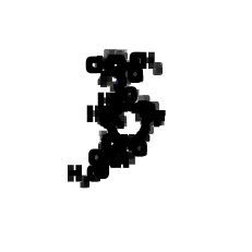 COC(=O)Nc1ccc2c(c1)NC(=O)CCc1nc(ccc1F)CC(NC(=O)/C=C/c1c(C(C)=O)ccc(Cl)c1F)c1nc-2c[nH]1